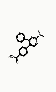 CN(C)c1ncc(-c2ccc(C(=O)O)cc2)c(-c2ccccc2)n1